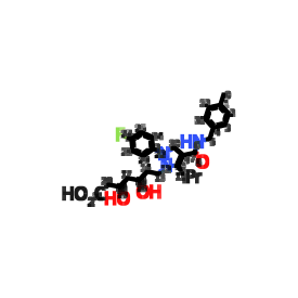 Cc1ccc(CNC(=O)C2=C(C(C)C)N(CC[C@@H](O)C[C@@H](O)CC(=O)O)N(c3ccc(F)cc3)C2)cc1